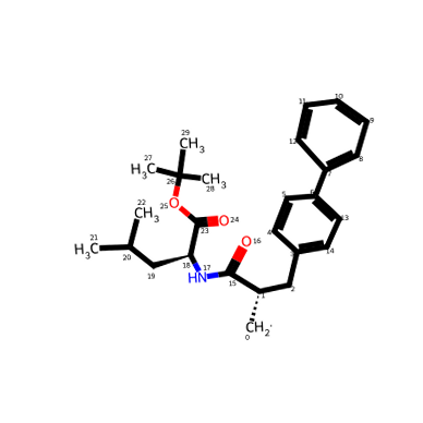 [CH2][C@@H](Cc1ccc(-c2ccccc2)cc1)C(=O)N[C@@H](CC(C)C)C(=O)OC(C)(C)C